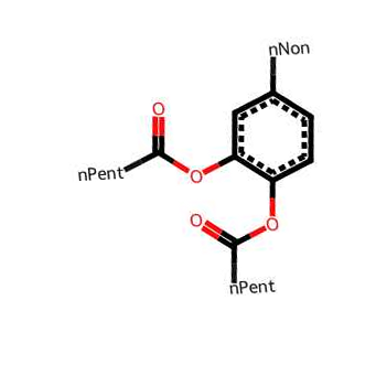 CCCCCCCCCc1ccc(OC(=O)CCCCC)c(OC(=O)CCCCC)c1